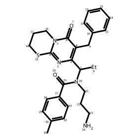 CCC(c1nc2n(c(=O)c1Cc1ccccc1)CCCS2)N(CCCN)C(=O)c1ccc(C)cc1